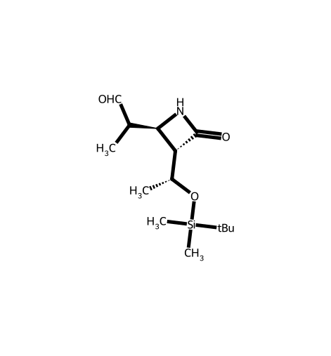 CC(C=O)[C@H]1NC(=O)[C@@H]1[C@@H](C)O[Si](C)(C)C(C)(C)C